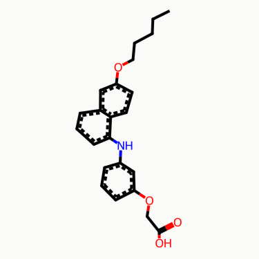 CCCCCOc1ccc2c(Nc3cccc(OCC(=O)O)c3)cccc2c1